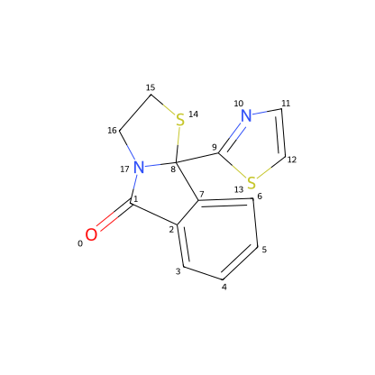 O=C1c2ccccc2C2(c3nccs3)SCCN12